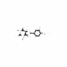 Cn1c(=O)c2[nH]c(-c3ccc([N+](=O)[O-])c(F)c3)nc2n(C)c1=O